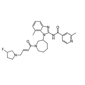 Cc1cc(C(=O)Nc2nc3cccc(C)c3n2C2CCCCN(C(=O)C=CCN3CCC(F)C3)C2)ccn1